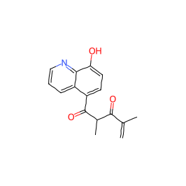 C=C(C)C(=O)C(C)C(=O)c1ccc(O)c2ncccc12